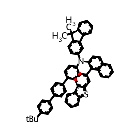 CC(C)(C)c1ccc(-c2ccc(-c3ccc(N(c4ccc5c(c4)-c4ccccc4C5(C)C)c4ccc5ccccc5c4-c4ccc5c(c4)sc4ccccc45)cc3)cc2)cc1